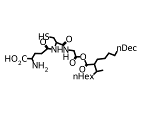 CCCCCCCCCCCCCCC(C(=O)OC(=O)CNC(=O)C(CS)NC(=O)CCC(N)C(=O)O)C(C)CCCCCC